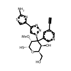 C#Cc1cncc(C2(n3cc(-c4csc(N)n4)nn3)[C@@H](O)[C@@H](CO)O[C@H](S)[C@@H]2OC)c1